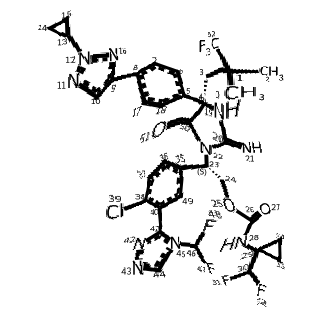 CC(C)(C[C@]1(c2ccc(-c3cnn(C4CC4)n3)cc2)NC(=N)N([C@H](COC(=O)NC2(C(F)F)CC2)c2ccc(Cl)c(-c3nncn3C(F)F)c2)C1=O)C(F)(F)F